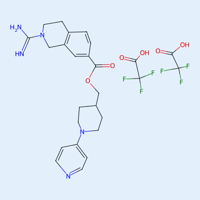 N=C(N)N1CCc2ccc(C(=O)OCC3CCN(c4ccncc4)CC3)cc2C1.O=C(O)C(F)(F)F.O=C(O)C(F)(F)F